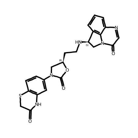 O=C1CSc2ccc(N3C[C@@H](CCN[C@@H]4Cn5c(=O)cnc6cccc4c65)OC3=O)cc2N1